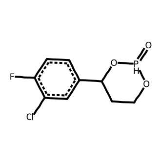 O=[PH]1OCCC(c2ccc(F)c(Cl)c2)O1